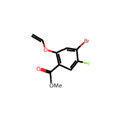 C=COc1cc(Br)c(F)cc1C(=O)OC